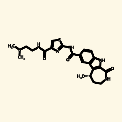 C[C@H]1CCNC(=O)c2[nH]c3ccc(C(=O)Nc4nc(C(=O)NCCN(C)C)cs4)cc3c21